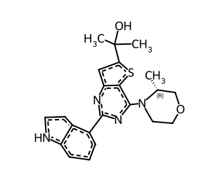 C[C@@H]1COCCN1c1nc(-c2cccc3[nH]ccc23)nc2cc(C(C)(C)O)sc12